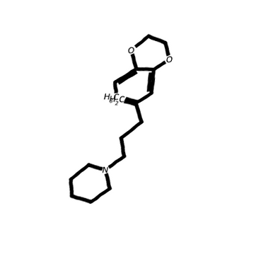 C=C(/C=C1/OCCO/C1=C/C)CCCN1CCCCC1